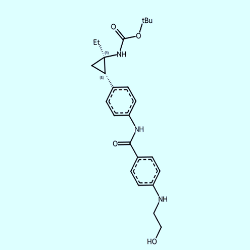 CC[C@@]1(NC(=O)OC(C)(C)C)C[C@H]1c1ccc(NC(=O)c2ccc(NCCO)cc2)cc1